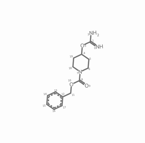 N=C(N)OC1CCN(C(=O)OCc2ccccc2)CC1